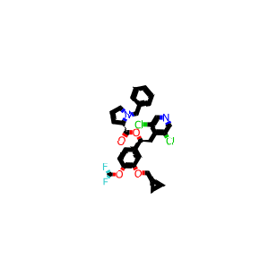 O=C(O[C@@H](Cc1c(Cl)cncc1Cl)c1ccc(OC(F)F)c(OCC2CC2)c1)[C@@H]1CCCN1Cc1ccccc1